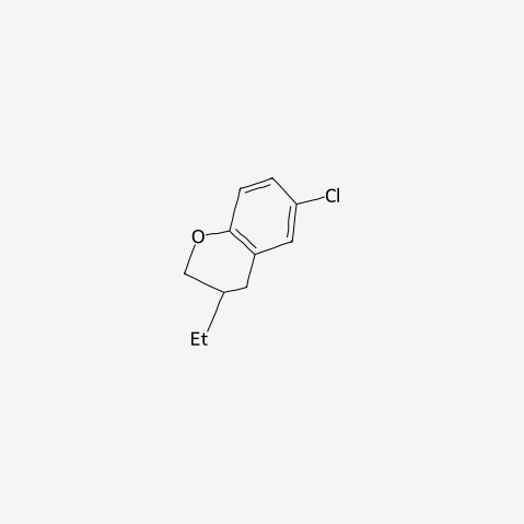 CCC1COc2ccc(Cl)cc2C1